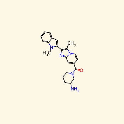 Cc1c(-c2cc3ccccc3n2C)nc2cc(C(=O)N3CCC[C@@H](N)C3)ccn12